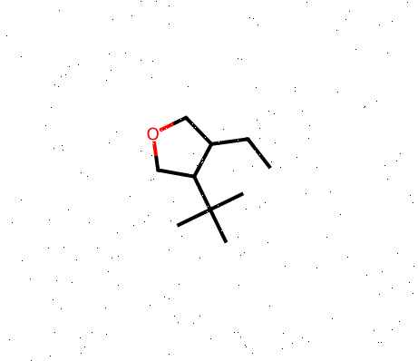 CCC1COCC1C(C)(C)C